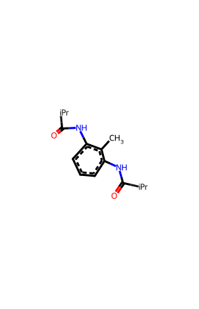 Cc1c(NC(=O)C(C)C)cccc1NC(=O)C(C)C